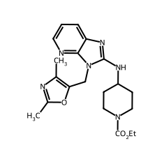 CCOC(=O)N1CCC(Nc2nc3cccnc3n2Cc2oc(C)nc2C)CC1